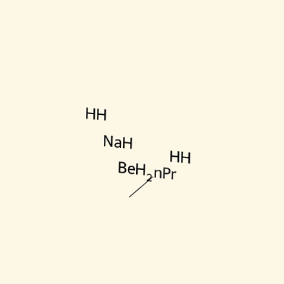 CCCC.[BeH2].[HH].[HH].[NaH]